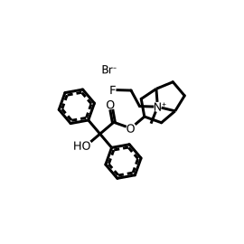 C[N+]1(CCF)C2CCC1CC(OC(=O)C(O)(c1ccccc1)c1ccccc1)C2.[Br-]